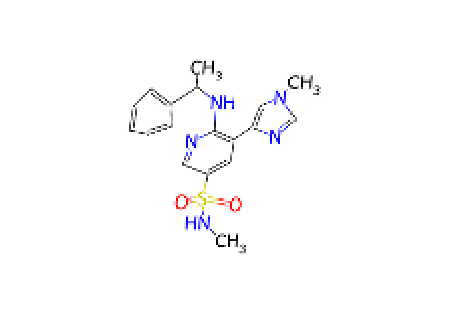 CNS(=O)(=O)c1cnc(NC(C)c2ccccc2)c(-c2cn(C)cn2)c1